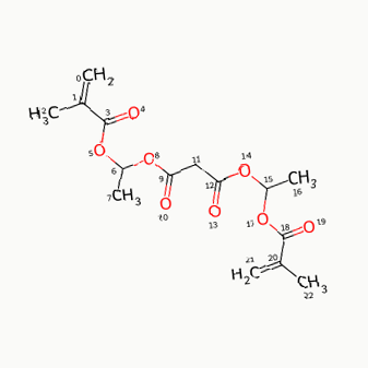 C=C(C)C(=O)OC(C)OC(=O)CC(=O)OC(C)OC(=O)C(=C)C